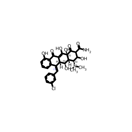 CN(C)[C@@H]1C(O)C(C(N)=O)C(=O)[C@@]2(O)C(O)=C3C(=O)c4c(O)cccc4/C(=C\c4cccc(Cl)c4)[C@H]3[C@H](O)[C@@H]12